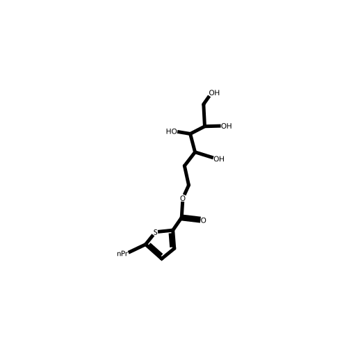 CCCc1ccc(C(=O)OCCC(O)C(O)C(O)CO)s1